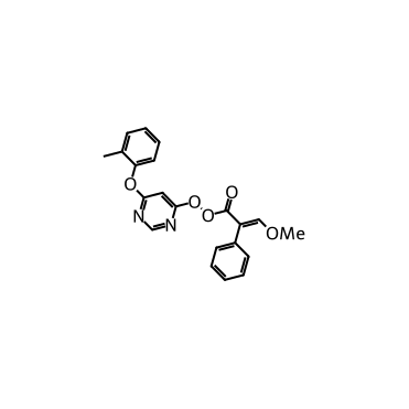 COC=C(C(=O)OOc1cc(Oc2ccccc2C)ncn1)c1ccccc1